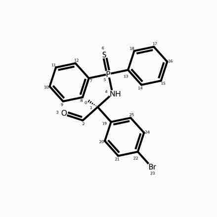 C[C@](C=O)(NP(=S)(c1ccccc1)c1ccccc1)c1ccc(Br)cc1